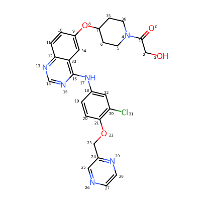 O=C(CO)N1CCC(Oc2ccc3ncnc(Nc4ccc(OCc5cnccn5)c(Cl)c4)c3c2)CC1